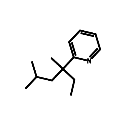 CCC(C)(CC(C)C)c1ccccn1